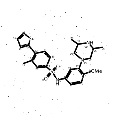 COc1ccc(NS(=O)(=O)c2ccc(-c3cccs3)c(C)c2)cc1N1CC(C)NC(C)C1